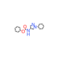 O=C(Nc1cnn(-c2ccccc2)c1)Oc1ccccc1